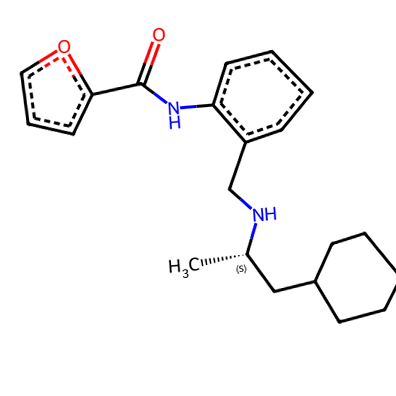 C[C@@H](CC1CCCCC1)NCc1ccccc1NC(=O)c1ccco1